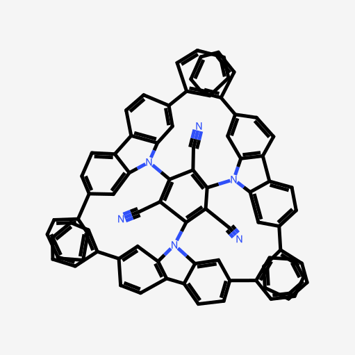 N#Cc1c(-n2c3cc(-c4ccccc4)ccc3c3ccc(-c4ccccc4)cc32)c(C#N)c(-n2c3cc(-c4ccccc4)ccc3c3ccc(-c4ccccc4)cc32)c(C#N)c1-n1c2cc(-c3ccccc3)ccc2c2ccc(-c3ccccc3)cc21